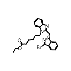 CCOC(=O)CCCCCn1c(Cn2nc(Br)c3ccccc32)nc2ccccc21